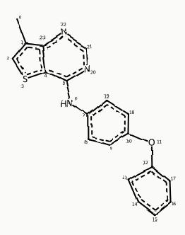 Cc1csc2c(Nc3ccc(Oc4ccccc4)cc3)ncnc12